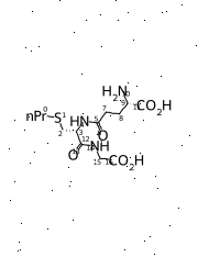 CCCSC[C@H](NC(=O)CC[C@H](N)C(=O)O)C(=O)NCC(=O)O